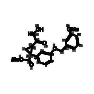 COC(=O)[C@]1(c2cccc(OCc3cccc(OC)c3)c2)C[C@H]1C(=O)NO